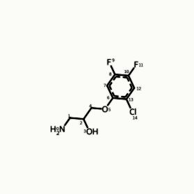 NCC(O)COc1cc(F)c(F)cc1Cl